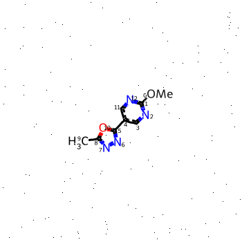 COc1ncc(-c2nnc(C)o2)cn1